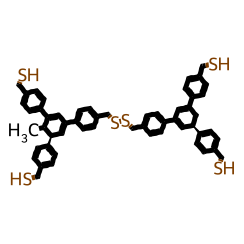 CC1C(c2ccc(CS)cc2)=CC(c2ccc(CSSCc3ccc(C4=C[C@H](c5ccc(CS)cc5)CC(c5ccc(CS)cc5)=C4)cc3)cc2)=C[C@H]1c1ccc(CS)cc1